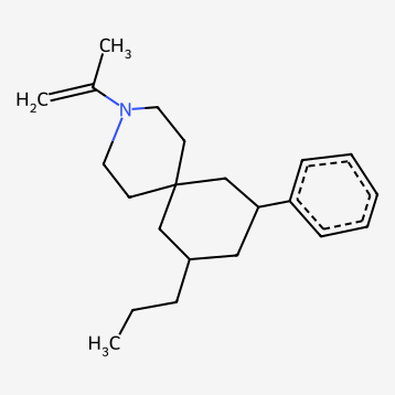 C=C(C)N1CCC2(CC1)CC(CCC)CC(c1ccccc1)C2